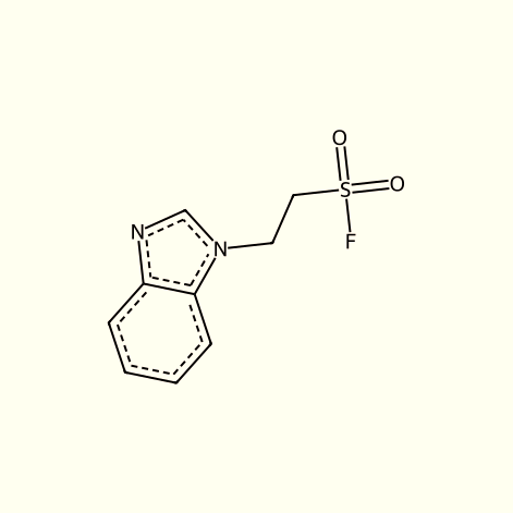 O=S(=O)(F)CCn1cnc2ccccc21